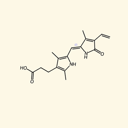 C=CC1=C(C)/C(=C/c2[nH]c(C)c(CCC(=O)O)c2C)NC1=O